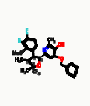 COc1c([C@H]2[C@H](c3cc(OCc4ccccc4)c(O)c(C)n3)O[C@@](C)(C(F)(F)F)[C@H]2C)ccc(F)c1F